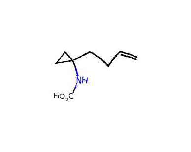 C=CCCC1(NC(=O)O)CC1